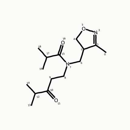 CC1=NOCC1CN(CCC(=O)C(C)C)C(=O)C(C)C